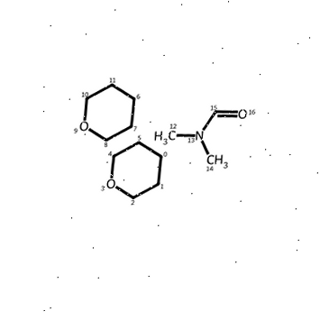 C1CCOCC1.C1CCOCC1.CN(C)C=O